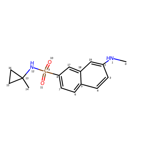 CNc1ccc2ccc(S(=O)(=O)NC3(C)CC3)cc2c1